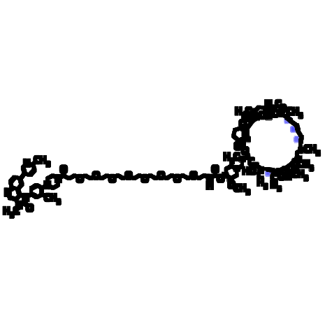 CO[C@H]1C[C@@H]2CC[C@@H](C)[C@@](O)(O2)C(=O)C(=O)N2CCCC[C@H]2C(=O)O[C@H]([C@H](C)C[C@@H]2CC[C@@H](OC(=O)NCCOCCOCCOCCOCCOCCOCCOCCOCCC(=O)N3CCN(c4ccc(-n5c(=O)n(C)c6cnc7ccc(-c8ccc(C)nc8)cc7c65)cc4C)CC3)[C@H](OC)C2)C[C@@H](O)[C@H](C)/C=C(\C)[C@@H](O)[C@@H](OC)C(=O)[C@H](C)C[C@H](C)/C=C/C=C/C=C/1C